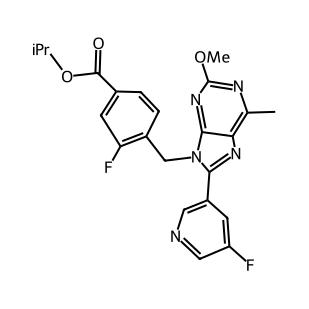 COc1nc(C)c2nc(-c3cncc(F)c3)n(Cc3ccc(C(=O)OC(C)C)cc3F)c2n1